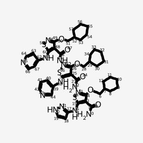 NC(=O)c1c(OCC2CCCCC2)nsc1Nc1cc[nH]n1.NC(=O)c1c(OCC2CCCCC2)nsc1Nc1cccnc1.NC(=O)c1c(OCC2CCCCC2)nsc1Nc1ccncc1